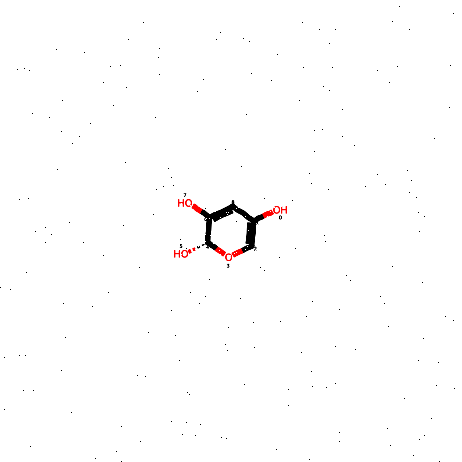 OC1=CO[C@H](O)C(O)=C1